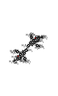 C=Cc1cc2c(cc1CCc1cc3c(cc1C)-c1ccc4c5c(Oc6ccc(C(C)(C)C)cc6)cc6c7c(cc(Oc8ccc(C(C)(C)C)cc8)c(c8ccc-3c1c48)c75)C(=O)N(c1c(C(C)C)cc(NC(=O)C(=C)C)cc1C(C)C)C6=O)-c1ccc3c4c(Oc5ccc(C(C)(C)C)cc5)cc5c6c(cc(Oc7ccc(C(C)(C)C)cc7)c(c7ccc-2c1c73)c64)C(=O)N(c1c(C(C)C)cc(NC(=O)C(C)(C)C)cc1C(C)C)C5=O